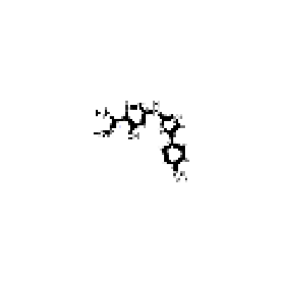 N/C(=N\O)c1nnc(Nc2ncc(-c3ccc(C(F)(F)F)cc3)o2)cc1O